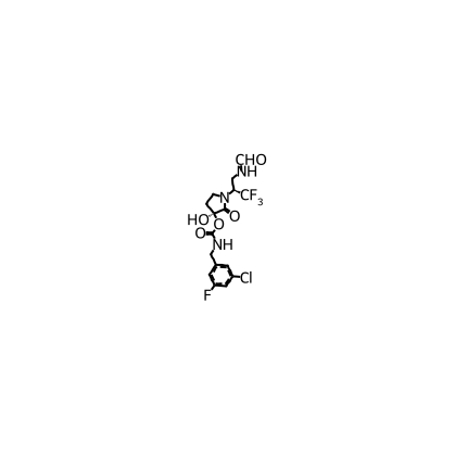 O=CNC[C@H](N1CC[C@](O)(OC(=O)NCc2cc(F)cc(Cl)c2)C1=O)C(F)(F)F